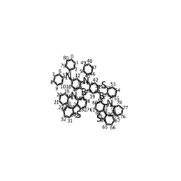 c1ccc(N(c2ccccc2)c2cc3c4c(c2)N(c2ccccc2)c2c(ccc5sc6ccccc6c25)B4c2cc4c(cc2N3c2ccccc2)Sc2cccc3c2B4c2ccc4sc5ccccc5c4c2N3c2ccccc2)cc1